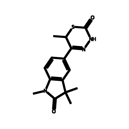 CC1SC(=O)NN=C1c1ccc2c(c1)C(C)(C)C(=O)N2C